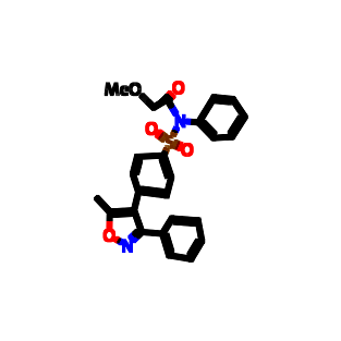 COCC(=O)N(c1ccccc1)S(=O)(=O)c1ccc(-c2c(-c3ccccc3)noc2C)cc1